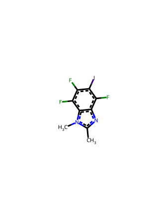 Cc1nc2c(F)c(I)c(F)c(F)c2n1C